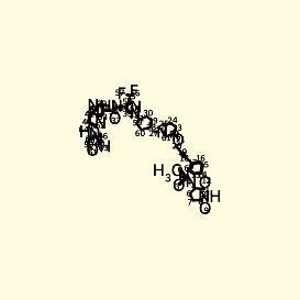 Cn1c(=O)n(C2CCC(=O)NC2=O)c2cccc(C#CCO[C@@H]3CCCN(C[C@H]4CC[C@H](n5cc(NC(=O)c6cnn7ccc(N8C[C@H]9C[C@@H]8CO9)nc67)c(C(F)F)n5)CC4)C3)c21